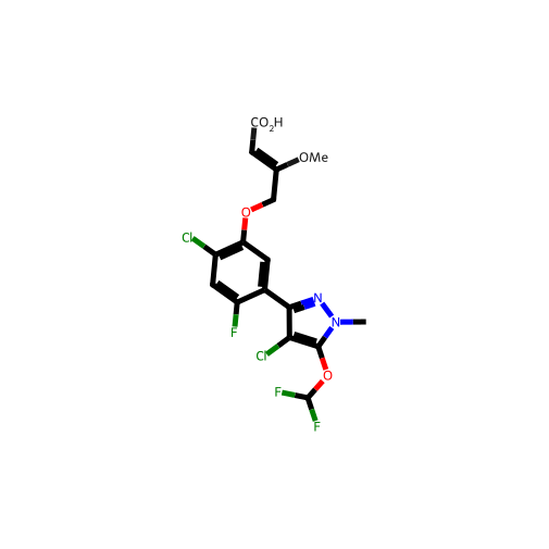 COC(=CC(=O)O)COc1cc(-c2nn(C)c(OC(F)F)c2Cl)c(F)cc1Cl